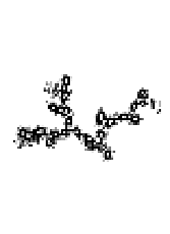 CC1(C)c2ccccc2-c2ccc(-n3c4ccccc4c4cc(-c5ccc6c(c5)c5ccccc5n6-c5ccc(-c6nc(-c7ccccc7)nc7c6-c6ccc(-c8ccc(-n9c%10ccc(-c%11ccc%12c(c%11)c%11ccccc%11n%12-c%11ccc%12c(c%11)C(C)(C)c%11ccccc%11-%12)cc%10c%10cc(-c%11ccc%12c(c%11)c%11ccccc%11n%12-c%11ccc%12c(c%11)C(C)(C)c%11ccccc%11-%12)ccc%109)cc8)c8cccc-7c68)cc5)ccc43)cc21